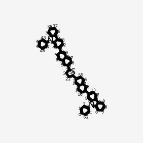 c1ccc(-n2c3ccccc3c3ccc(-c4ccc5cc(C6CCC(c7ccc8cc(-c9ccc%10c%11ccccc%11n(-c%11ccccc%11)c%10c9)ccc8c7)S6)ccc5c4)cc32)cc1